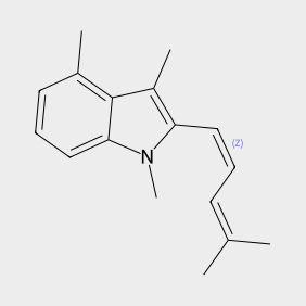 CC(C)=C/C=C\c1c(C)c2c(C)cccc2n1C